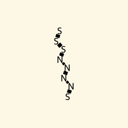 S=N/N=N/N=S=S=S